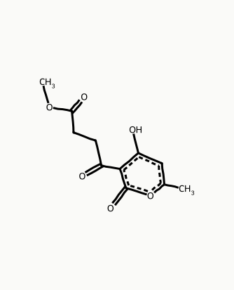 COC(=O)CCC(=O)c1c(O)cc(C)oc1=O